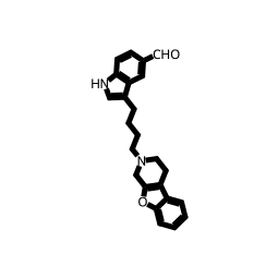 O=Cc1ccc2[nH]cc(CCCCN3CCc4c(oc5ccccc45)C3)c2c1